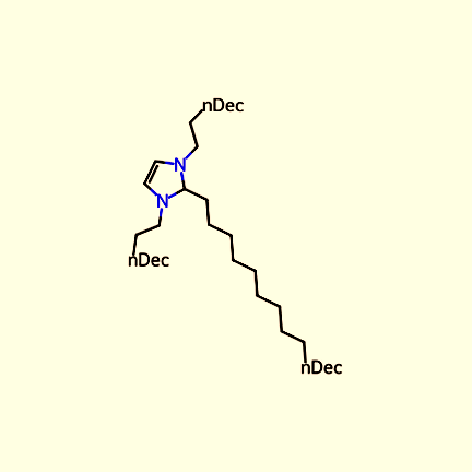 CCCCCCCCCCCCCCCCCCCC1N(CCCCCCCCCCCC)C=CN1CCCCCCCCCCCC